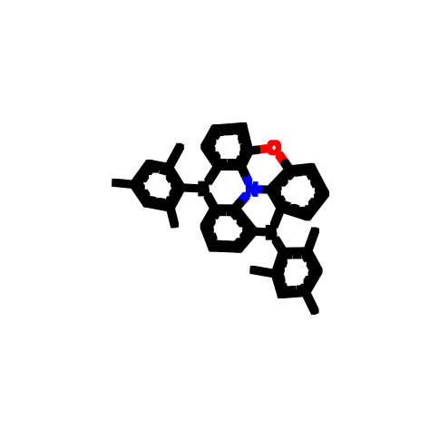 Cc1cc(C)c(B2c3cccc4c3N3c5c(cccc5B(c5c(C)cc(C)cc5C)c5cccc2c53)O4)c(C)c1